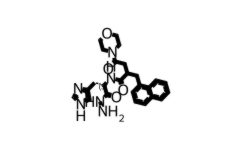 NNC(=O)[C@H](Cc1c[nH]cn1)NC(=O)C(CC(=O)N1CCOCC1)Cc1cccc2ccccc12